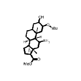 CCCCOC1C[C@@]2(C)C(CC[C@@H]3[C@H]2C(N)C[C@]2(C)C(C(=O)OC)CC[C@@H]32)CC1O